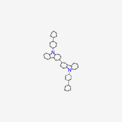 C1=CC(n2c3ccccc3c3cc(-c4ccc5c(c4)c4ccccc4n5-c4ccc(-c5ccccc5)cc4)ccc32)CC=C1c1ccccc1